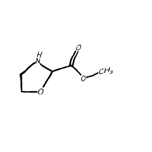 COC(=O)C1NCCO1